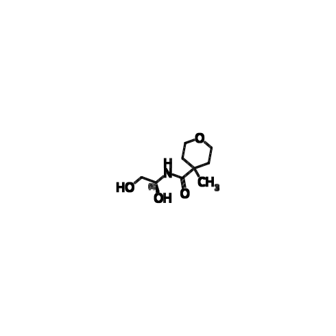 CC1(C(=O)N[C@@H](O)CO)CCOCC1